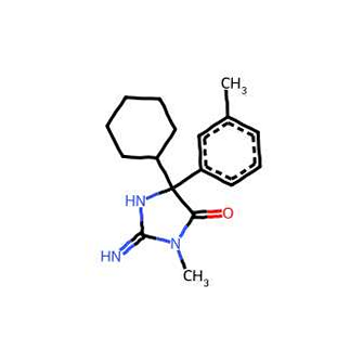 Cc1cccc(C2(C3CCCCC3)NC(=N)N(C)C2=O)c1